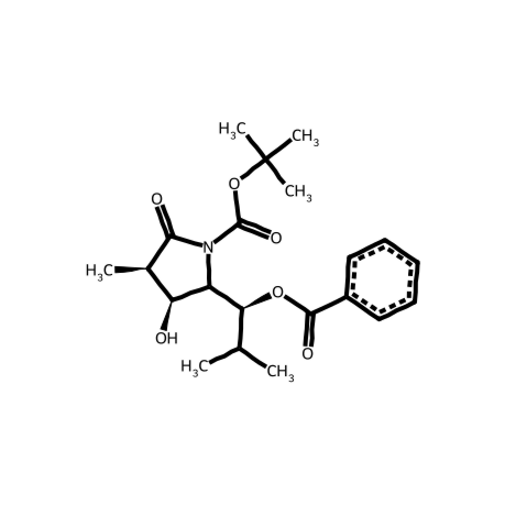 CC(C)[C@H](OC(=O)c1ccccc1)C1[C@@H](O)[C@@H](C)C(=O)N1C(=O)OC(C)(C)C